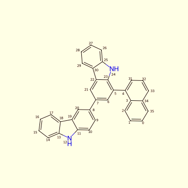 c1ccc2c(-c3cc(-c4ccc5[nH]c6ccccc6c5c4)cc4c3[nH]c3ccccc34)cccc2c1